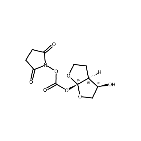 O=C(ON1C(=O)CCC1=O)O[C@@]12OCC[C@H]1[C@@H](O)CO2